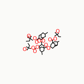 CCC1(COC(=O)OC23CC(C)CC(C(=O)OC4CC5=CC(C)CC(C(=O)OCC6(CC)COC6)(C5)C4)(CC(C(=O)OC45CC(C)CC(CC(C(=O)OCC6(CC)COC6)C4)C5)C2)C3)COC1